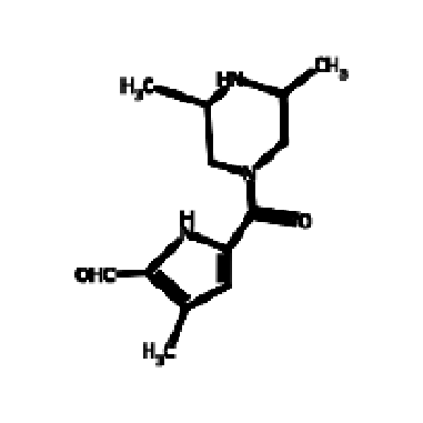 Cc1cc(C(=O)N2CC(C)NC(C)C2)[nH]c1C=O